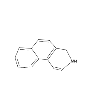 C1=Cc2c(ccc3ccccc23)CN1